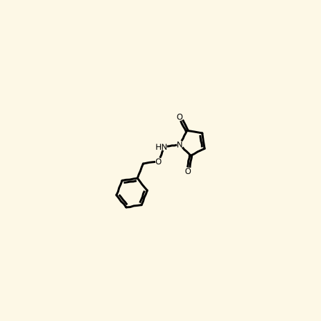 O=C1C=CC(=O)N1NOCc1ccccc1